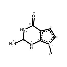 Cn1ccc2c1NC(N)NC2=O